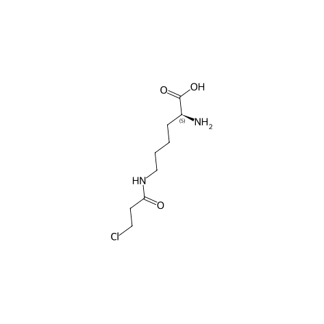 N[C@@H](CCCCNC(=O)CCCl)C(=O)O